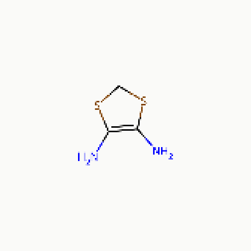 NC1=C(N)SCS1